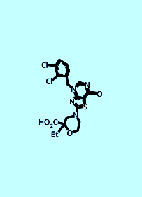 CCC1(C(=O)O)CN(c2nc3c(s2)c(=O)ncn3Cc2cccc(Cl)c2Cl)CCO1